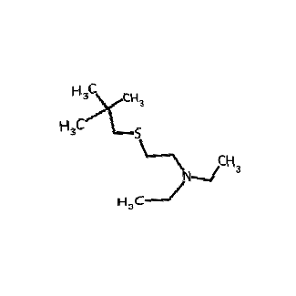 CCN(CC)CCSCC(C)(C)C